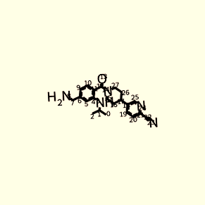 CC(C)Nc1cc(CN)ccc1C(=O)N1CCC(c2ccc(C#N)nc2)CC1